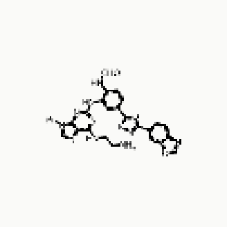 CC(C)n1cnc2c(NCCN)nc(Nc3cc(-c4nnc(-c5ccc6ncoc6c5)o4)ccc3NC=O)nc21